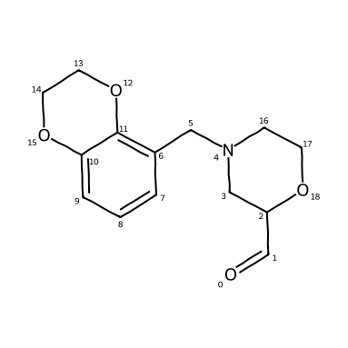 O=CC1CN(Cc2cccc3c2OCCO3)CCO1